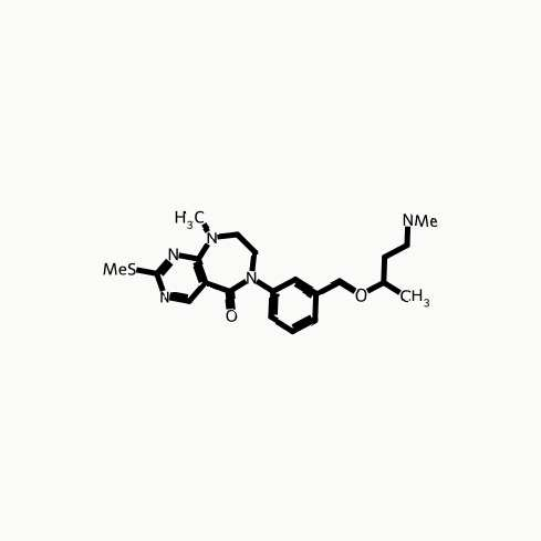 CNCCC(C)OCc1cccc(N2CCN(C)c3nc(SC)ncc3C2=O)c1